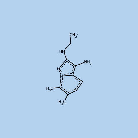 [CH2]CNc1nn2c(C)c(C)ccc2c1N